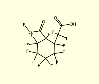 O=C(O)C(F)(F)C1(F)C(F)(F)C(F)(F)C(F)(F)C(F)(F)C1(F)C(=O)OF